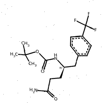 CC(C)(C)OC(=O)N[C@H](CCC(N)=O)Cc1ccc(C(F)(F)F)cc1